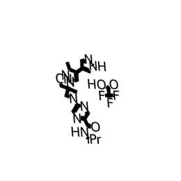 Cc1nn(C2(CC#N)CN(c3cnc(C(=O)NC(C)C)cn3)C2)cc1-c1cn[nH]c1.O=C(O)C(F)(F)F